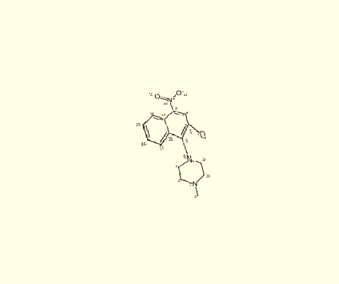 CN1CCN(c2c(Cl)cc([N+](=O)[O-])c3ccccc23)CC1